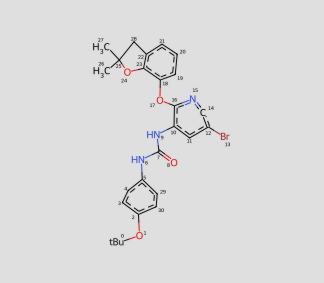 CC(C)(C)Oc1ccc(NC(=O)Nc2cc(Br)cnc2Oc2cccc3c2OC(C)(C)C3)cc1